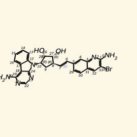 Nc1nc2cc(/C=C/[C@H]3C[C@@H](n4c5ccccc5c5c(N)ncnc54)[C@H](O)[C@@H]3O)ccc2cc1Br